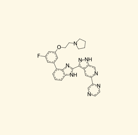 Fc1cc(OCCN2CCCC2)cc(-c2cccc3[nH]c(-c4n[nH]c5cnc(-c6cnccn6)cc45)nc23)c1